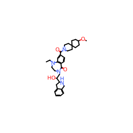 CCN1CCN(CC(O)C2Cc3ccccc3CN2)C(=O)c2ccc(C(=O)N3CCC4(CCC(OC)CC4)CC3)cc21